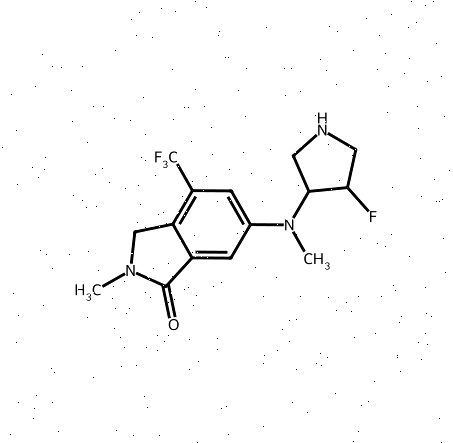 CN1Cc2c(cc(N(C)C3CNCC3F)cc2C(F)(F)F)C1=O